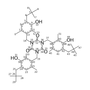 Cc1cc(CC(C)(C)C)c(O)c(C)c1Cn1c(=O)n(Cc2c(C)cc(CC(C)(C)C)c(O)c2C)c(=O)n(Cc2c(C)cc(CC(C)(C)C)c(O)c2C)c1=O